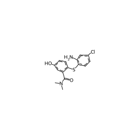 CN(C)C(=O)c1cc(O)ccc1Sc1ccc(Cl)cc1N